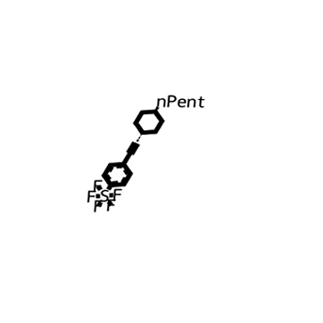 CCCCC[C@H]1CC[C@H](C#Cc2ccc(S(F)(F)(F)(F)F)cc2)CC1